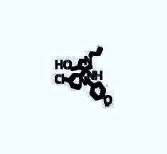 C=CCN1CC(CO)C(NCc2ccc(OC)cc2)(c2cc(Cl)ccn2)C1